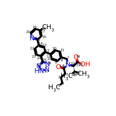 CCCCC(=O)N(Cc1ccc(-c2cc(-c3cc(C)ccn3)ccc2-c2nn[nH]n2)cc1)[C@H](C(=O)O)C(C)C